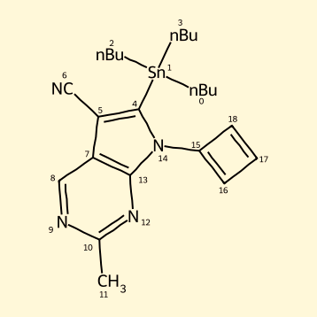 CCC[CH2][Sn]([CH2]CCC)([CH2]CCC)[c]1c(C#N)c2cnc(C)nc2n1C1=CC=C1